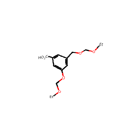 CCOCOCc1cc(OCOCC)cc(C(=O)O)c1